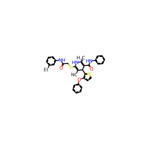 CCc1cccc(NC(=O)CSC2=C(C#N)C(c3sccc3Oc3ccccc3)C(C(=O)Nc3ccccc3)=C(C)N2)c1